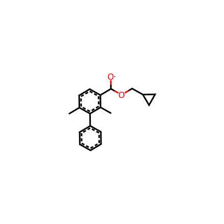 Cc1ccc(C([O])OCC2CC2)c(C)c1-c1ccccc1